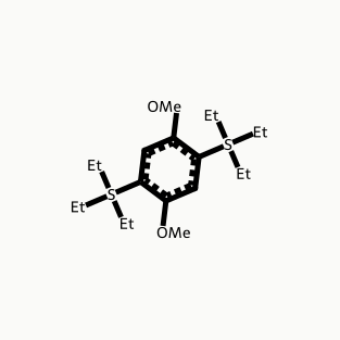 CCS(CC)(CC)c1cc(OC)c(S(CC)(CC)CC)cc1OC